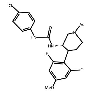 COc1cc(F)c(C2CCN(C(C)=O)C[C@H]2NC(=O)Nc2ccc(Cl)cc2)c(F)c1